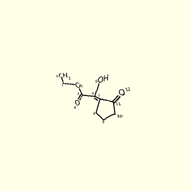 CCOC(=O)/C(O)=C1\CCCC1=O